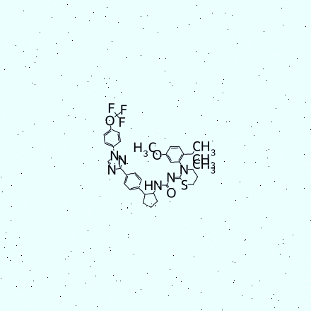 COc1ccc(C(C)C)c(N2/C(=N/C(=O)NC3CCCC3c3ccc(-c4ncn(-c5ccc(OC(F)(F)F)cc5)n4)cc3)SCCC2C)c1